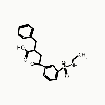 CCNS(=O)(=O)c1cccc(C(=O)CC(Cc2ccccc2)C(=O)O)c1